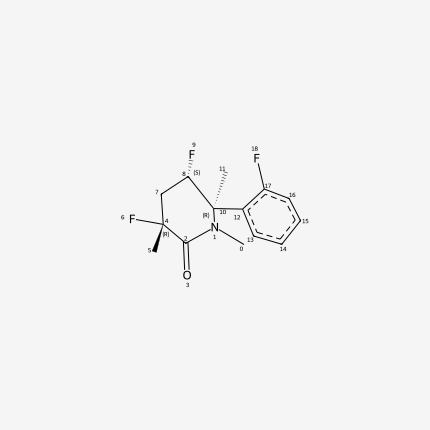 CN1C(=O)[C@](C)(F)C[C@H](F)[C@@]1(C)c1ccccc1F